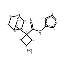 Cl.O=C(Oc1ccsc1)C1(C2CN3CCC2CC3)CCC1